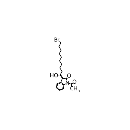 CC(=O)N1C(=O)C(=C(O)CCCCCCCCCBr)c2ccccc21